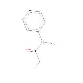 NN(C(=O)CF)c1ccccc1